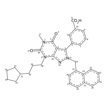 Cn1c(=O)c2c(-c3cccc(C(=O)O)c3)n(Cc3cccc4ccccc34)nc2n(CCCC2CCCC2)c1=O